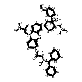 CC(CN1c2ccccc2Sc2ccccc21)N(C)C.COc1cccc([C@@]2(O)CCCC[C@@H]2CN(C)C)c1.NC(=O)C[S+]([O-])C(c1ccccc1)c1ccccc1